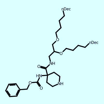 CCCCCCCCCCCCCCOCC(CNC(=O)C1(NC(=O)OCc2ccccc2)CCNCC1)OCCCCCCCCCCCCCC